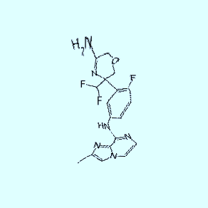 Cc1cn2ccnc(Nc3ccc(F)c(C4(C(F)F)COCC(N)=N4)c3)c2n1